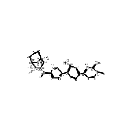 CN(c1cnc(-c2ccc(-c3ccn(C)c(=O)n3)cc2O)cn1)[C@H]1C[C@]2(C)CCC[C@@](C)(N2)[C@H]1F